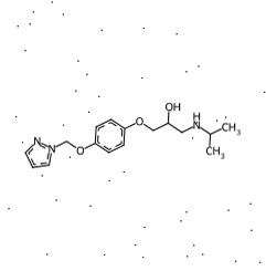 CC(C)NCC(O)COc1ccc(OCn2cccn2)cc1